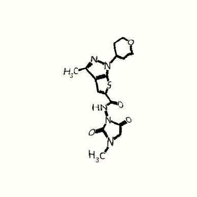 Cc1nn(C2CCOCC2)c2sc(C(=O)NN3C(=O)CN(C)C3=O)cc12